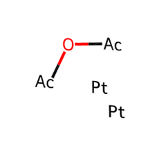 CC(=O)OC(C)=O.[Pt].[Pt]